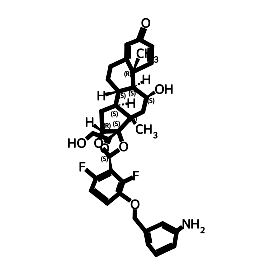 C[C@]12C=CC(=O)C=C1CC[C@@H]1[C@@H]2[C@@H](O)C[C@@]2(C)[C@H]1C[C@H]1O[C@H](c3c(F)ccc(OCc4cccc(N)c4)c3F)O[C@]12C(=O)CO